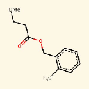 COCCC(=O)OCc1ccccc1C(F)(F)F